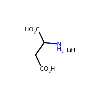 NC(CC(=O)O)C(=O)O.[LiH]